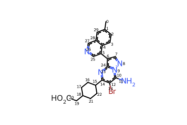 Cc1ccc2c(-c3cnn4c(N)c(Br)c(C5CCC(CC(=O)O)CC5)nc34)cncc2c1